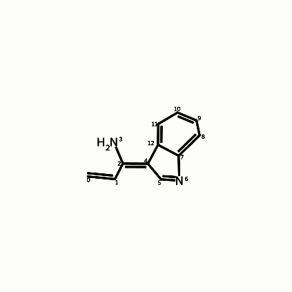 C=CC(N)=C1C=Nc2ccccc21